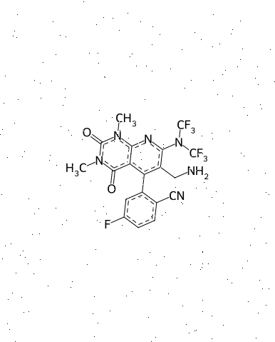 Cn1c(=O)c2c(-c3cc(F)ccc3C#N)c(CN)c(N(C(F)(F)F)C(F)(F)F)nc2n(C)c1=O